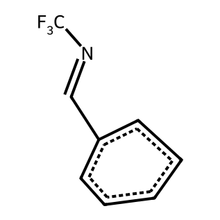 FC(F)(F)N=Cc1ccccc1